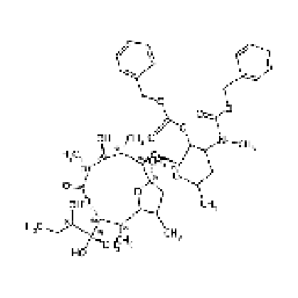 CC[C@@H](O)[C@@](C)(O)[C@@H]1OC(=O)[C@H](C)[C@@H](O)[C@H](C)[C@@H](O[C@@H]2OC(C)CC(N(C)C(=O)OCc3ccccc3)C2OC(=O)OCc2ccccc2)[C@@]2(C)CC(C)C(O2)[C@@H]1C